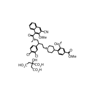 COC(=O)c1ccc(C2CCN(CCC(CN(C)C(=O)c3c(OC)c(C#N)cc4ccccc34)c3ccc(Cl)c(Cl)c3)CC2)c([S+](C)[O-])c1.O=C(O)CC(O)(CC(=O)O)C(=O)O